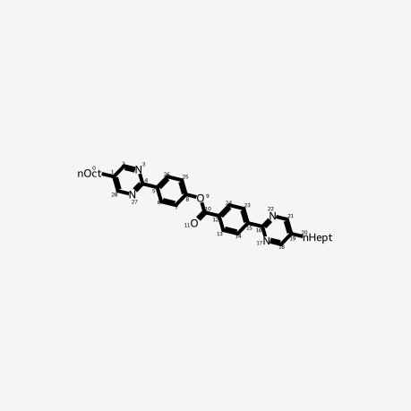 CCCCCCCCc1cnc(-c2ccc(OC(=O)c3ccc(-c4ncc(CCCCCCC)cn4)cc3)cc2)nc1